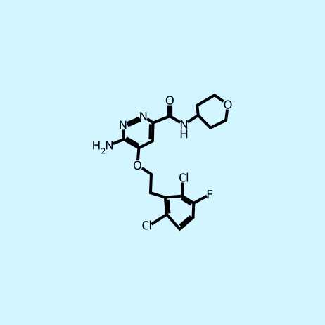 Nc1nnc(C(=O)NC2CCOCC2)cc1OCCc1c(Cl)ccc(F)c1Cl